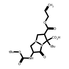 C=CCOC(=O)C1CN2CC(NC(=O)OC(C)(C)C)C(=O)N2C1(C(=O)O)C(C)(C)C